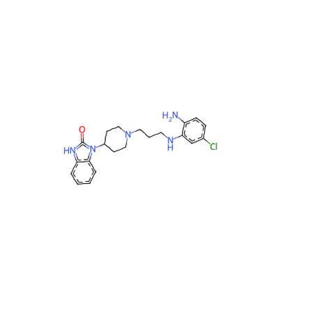 Nc1ccc(Cl)cc1NCCCN1CCC(n2c(=O)[nH]c3ccccc32)CC1